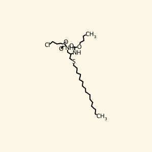 CCCCCCCCCCCCCCCCSCC(CNS(=O)(=O)CCCCl)NC(=O)OCCCC